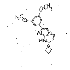 COc1cc(OC)cc(-c2cn3c(n2)NC(N2CCC2)C=C3)c1